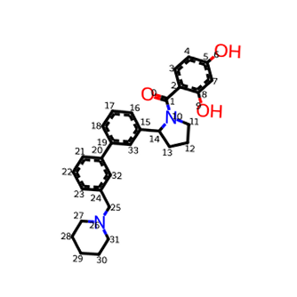 O=C(c1ccc(O)cc1O)N1CCCC1c1cccc(-c2cccc(CN3CCCCC3)c2)c1